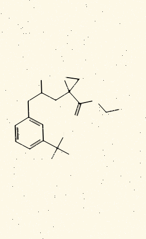 CCOC(=O)C1(CC(C)Cc2cccc(C(F)(F)F)c2)CO1